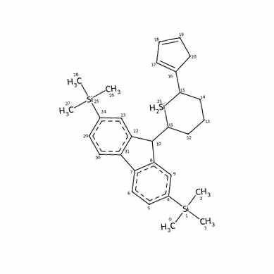 C[Si](C)(C)c1ccc2c(c1)C(C1CCCC(C3=CC=CC3)[SiH2]1)c1cc([Si](C)(C)C)ccc1-2